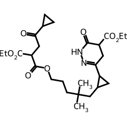 CCOC(=O)C1CC(C2CC2CC(C)(C)CCCOC(=O)C(CC(=O)C2CC2)C(=O)OCC)=NNC1=O